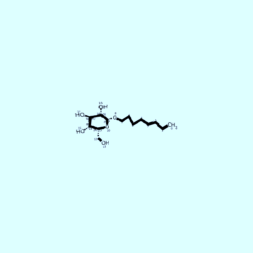 CCCCCCCCO[C@@H]1O[C@H](CO)[C@H](O)[C@@H](O)[C@@H]1O